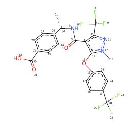 C[C@H](NC(=O)c1c(C(F)(F)F)nn(C)c1Oc1ccc(C(F)(F)F)cc1)c1ccc(C(=O)O)cc1